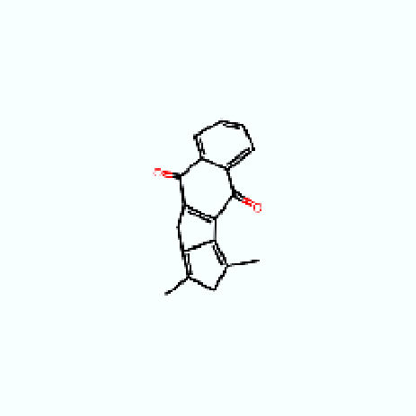 CC1=C2CC3=C(C(=O)c4ccccc4C3=O)C2=C(C)C1